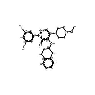 CSN1CCN(c2cnn(-c3cc(F)cc(F)c3)c(=O)c2OC2CCc3ccccc3C2)CC1